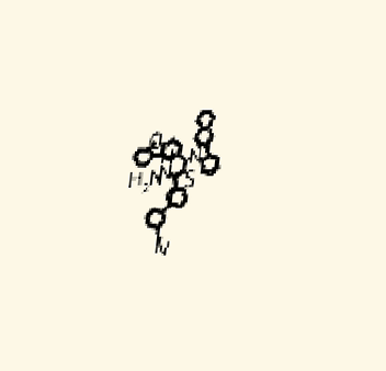 N#Cc1cccc(-c2ccc3sc(C(c4ccc5oc6ccccc6c5c4)n4c5ccccc5c5cc6ccccc6cc54)c(NN)c3c2)c1